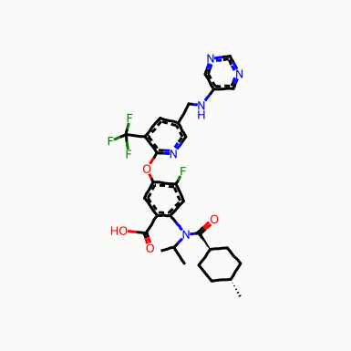 CC(C)N(c1cc(F)c(Oc2ncc(CNc3cncnc3)cc2C(F)(F)F)cc1C(=O)O)C(=O)[C@H]1CC[C@H](C)CC1